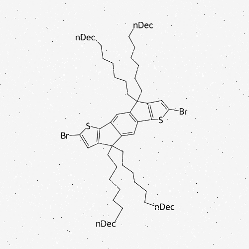 CCCCCCCCCCCCCCCCC1(CCCCCCCCCCCCCCCC)c2cc3c(cc2-c2sc(Br)cc21)C(CCCCCCCCCCCCCCCC)(CCCCCCCCCCCCCCCC)c1cc(Br)sc1-3